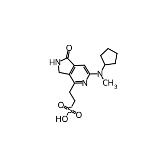 CN(c1cc2c(c(CCS(=O)(=O)O)n1)CNC2=O)C1CCCC1